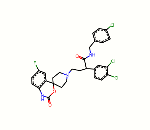 O=C1Nc2ccc(F)cc2C2(CCN(CCC(C(=O)NCc3ccc(Cl)cc3)c3ccc(Cl)c(Cl)c3)CC2)O1